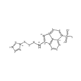 CS(=O)(=O)c1ccc2c3c(cccc13)C(NCCCn1ccnc1)=N2